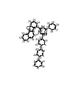 c1ccc(-c2ccc(-c3ccc(-c4nc(-c5ccccc5)nc(-c5cccc6oc7c8ccccc8ccc7c56)n4)cc3)cc2)cc1